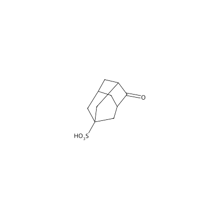 O=C1C2CC3CC1CC(S(=O)(=O)O)(C3)C2